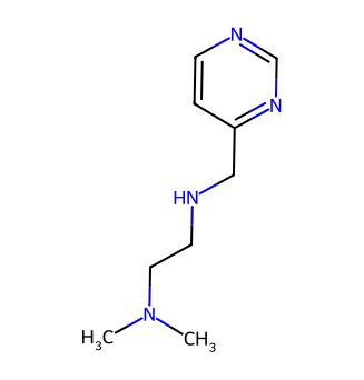 CN(C)CCNCc1ccncn1